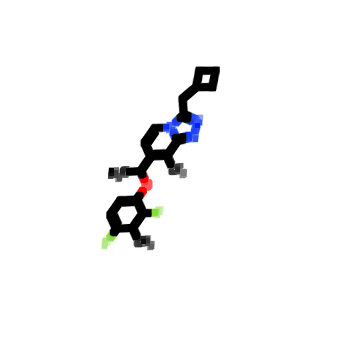 CC(OC1=CC=C(F)C(C)C1F)c1ccn2c(CC3CCC3)nnc2c1C(F)(F)F